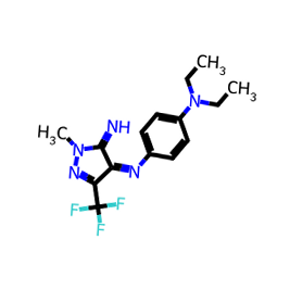 CCN(CC)c1ccc(N=C2C(=N)N(C)N=C2C(F)(F)F)cc1